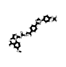 COc1ccc(-n2c(C)cs/c2=N\C(=O)NCC(F)c2ccc(-c3ncn(-c4ccc(OC(F)(F)F)cc4)n3)cc2)c(C(C)C)c1